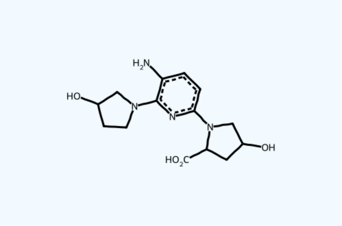 Nc1ccc(N2CC(O)CC2C(=O)O)nc1N1CCC(O)C1